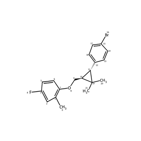 Cc1cc(F)ccc1OC[C@H]1[C@H](c2ccc(Br)cc2)C1(C)C